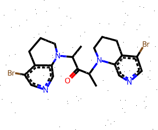 CC(C(=O)C(C)N1CCCc2c(Br)cncc21)N1CCCc2c(Br)cncc21